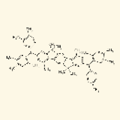 Cc1ccc(N(c2cc(C)c3c(c2)C(C)(C)c2cc4c(cc2-3)C(C)(C)c2cc(N(c3ccc(C)c(C)c3)c3cc(C)c(C)cc3C)cc(C)c2-4)c2cc(C)c(C)cc2C)cc1